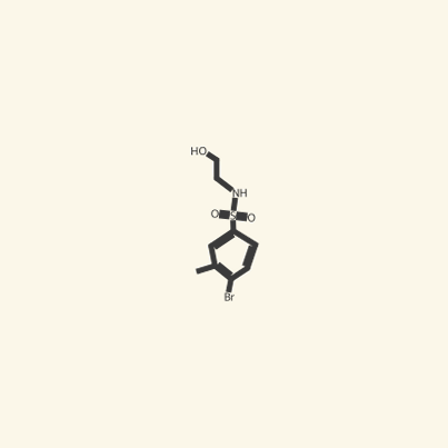 Cc1cc(S(=O)(=O)NCCO)ccc1Br